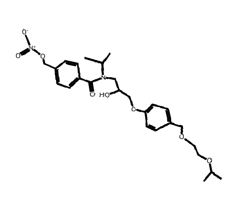 CC(C)OCCOCc1ccc(OCC(O)CN(C(=O)c2ccc(CO[N+](=O)[O-])cc2)C(C)C)cc1